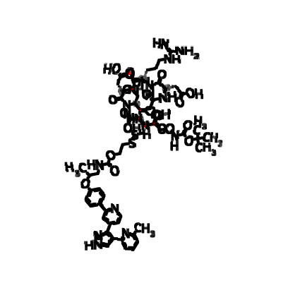 Cc1cccc(-c2c[nH]nc2-c2ccnc(-c3ccc(OC(C)CNC(=O)OCCSSC[C@H](NC(=O)[C@H](CC(=O)O)NC(=O)[C@H](CC(=O)O)NC(=O)[C@H](CCCNC(=N)N)NC(=O)[C@H](CC(=O)O)NC(=O)CC[C@H](NC(=O)CONC(=O)OC(C)(C)C)C(=O)O)C(=O)O)cc3)c2)n1